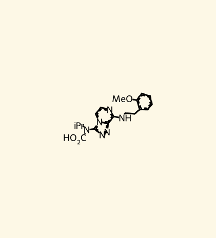 COc1ccccc1CCNc1nccn2c(N(C(=O)O)C(C)C)nnc12